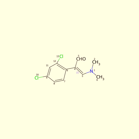 CN(C)/C=C(\C=O)c1ccc(Cl)cc1Cl